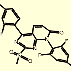 CS(=O)(=O)c1nc(-c2ccc(F)cc2F)c2ccc(=O)n(-c3c(F)cc(F)cc3F)c2n1